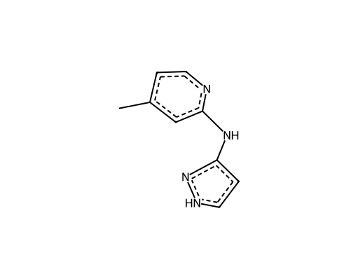 Cc1ccnc(Nc2cc[nH]n2)c1